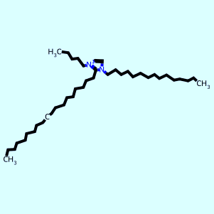 CCCCCCCCCCCCCCCCCCCc1n(CCCCCCCCCCCCCCC)cc[n+]1CCCCC